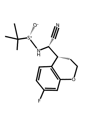 CC(C)(C)[S@+]([O-])N[C@H](C#N)[C@@H]1CCOc2cc(F)ccc21